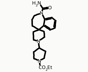 CCOC(=O)N1CCC(N2CCC3(CCCN(C(N)=O)c4ccccc43)CC2)CC1